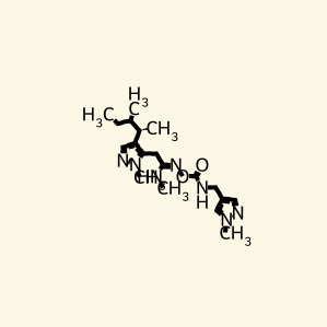 CCC(C)[C@H](C)c1cnn(C)c1C/C(=N/OC(=O)NCc1cnn(C)c1)NC